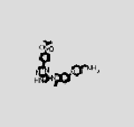 C=C1c2ccc(N3CCC(CN)CC3)cc2CN1c1c[nH]c2ncc(-c3ccc(S(=O)(=O)C(C)C)cc3)nc12